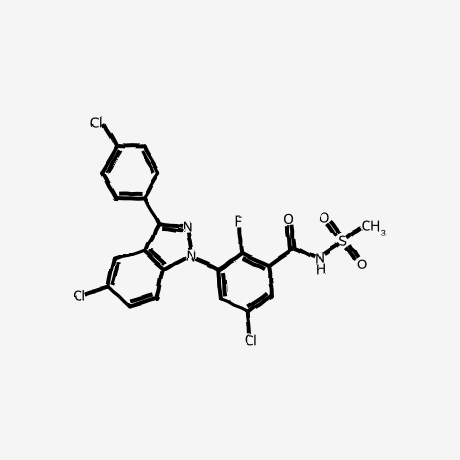 CS(=O)(=O)NC(=O)c1cc(Cl)cc(-n2nc(-c3ccc(Cl)cc3)c3cc(Cl)ccc32)c1F